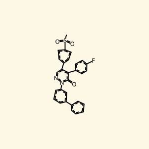 CS(=O)(=O)c1ccc(-c2cnn(-c3cccc(-c4ccccc4)c3)c(=O)c2-c2ccc(F)cc2)cc1